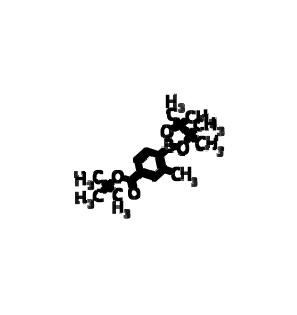 Cc1cc(C(=O)OC(C)(C)C)ccc1B1OC(C)(C)C(C)(C)O1